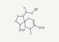 CC1CC2(CC=C1C(=O)O)C(C(=O)O)CCC2C(C)CO